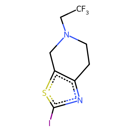 FC(F)(F)CN1CCc2nc(I)sc2C1